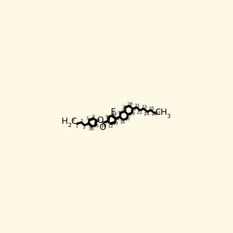 C=CCCc1ccc(OC(=O)c2ccc(C3CCC4CC(CCCCCCC)CCC4C3)c(F)c2)cc1